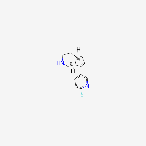 Fc1ccc(C2=CC[C@@H]3CCNC[C@H]23)cn1